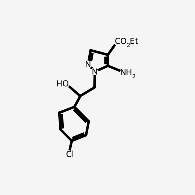 CCOC(=O)c1cnn(CC(O)c2ccc(Cl)cc2)c1N